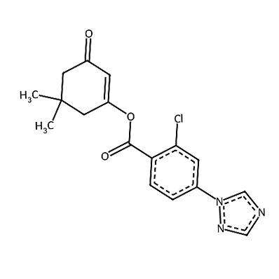 CC1(C)CC(=O)C=C(OC(=O)c2ccc(-n3cncn3)cc2Cl)C1